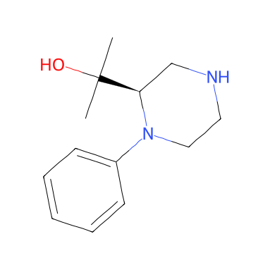 CC(C)(O)[C@H]1CNCCN1c1ccccc1